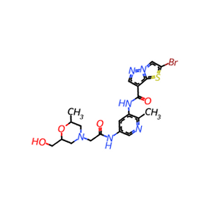 Cc1ncc(NC(=O)CN2CC(C)OC(CO)C2)cc1NC(=O)c1cnn2cc(Br)sc12